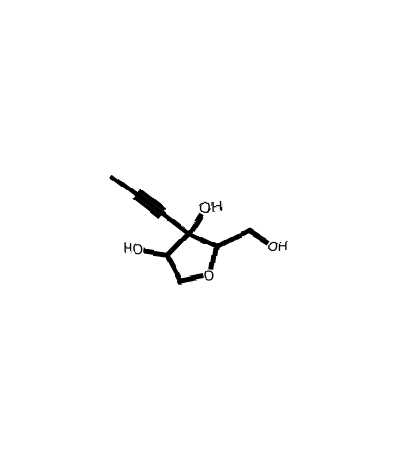 CC#CC1(O)C(O)COC1CO